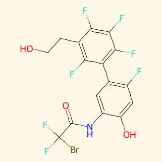 O=C(Nc1cc(-c2c(F)c(F)c(F)c(CCO)c2F)c(F)cc1O)C(F)(F)Br